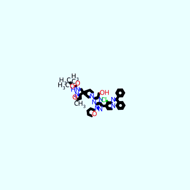 Cc1cc(C2(CNC(=O)OC(C)(C)C)C3CCN(c4nc5c(nc4CO)c(-c4ccnc(N=C(c6ccccc6)c6ccccc6)c4Cl)nn5C4CCCCO4)CC32)no1